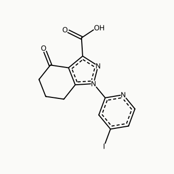 O=C(O)c1nn(-c2cc(I)ccn2)c2c1C(=O)CCC2